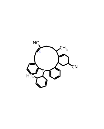 CC1CC/C(C#N)=C\Cc2ccccc2N(C2C=CC=CC2C)c2ccccc2C2CC(C#N)CC=C12